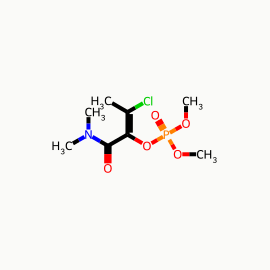 COP(=O)(OC)OC(C(=O)N(C)C)=C(C)Cl